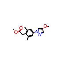 COC(=O)Cc1c(C)cc(-n2cc(OC)cn2)cc1C